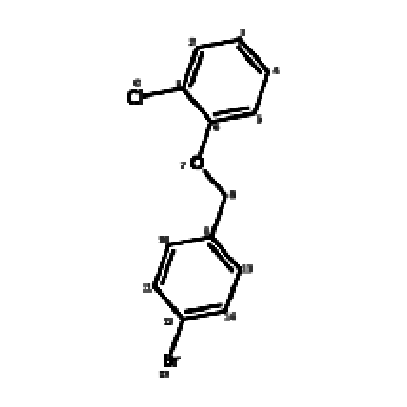 Clc1c[c]ccc1OCc1ccc(Br)cc1